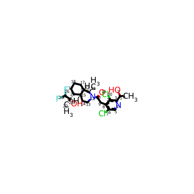 CC(O)c1ncc(Cl)c(CC(=O)N2CC[C@@H]3[C@H](CCC[C@H]3C(C)(O)C(F)F)[C@@H]2C)c1Cl